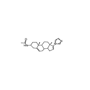 CC(=O)NC1CC[C@@]2(C)C(=CCC3C2CC[C@]2(C)C(n4ccnc4)=CCC32)C1